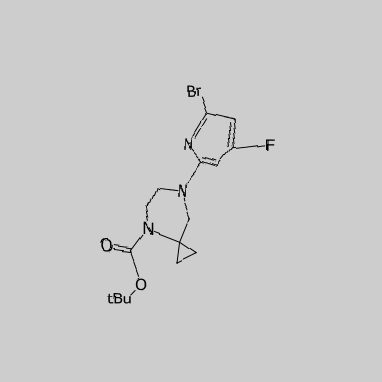 CC(C)(C)OC(=O)N1CCN(c2cc(F)cc(Br)n2)CC12CC2